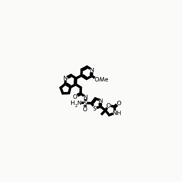 COc1cc(-c2cnc3c(c2CC(=O)N=S(N)(=O)c2cnc(C4(C)CNC(=O)O4)s2)CCC3)ccn1